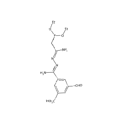 CCOP(C/C(N)=N/N=C(\N)c1cc(C=O)cc(C(=O)O)c1)OCC